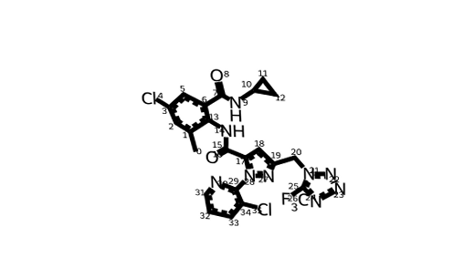 Cc1cc(Cl)cc(C(=O)NC2CC2)c1NC(=O)c1cc(Cn2nnnc2C(F)(F)F)nn1-c1ncccc1Cl